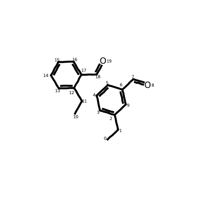 CCc1cccc(C=O)c1.CCc1ccccc1C=O